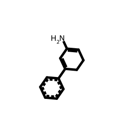 NC1=CCCC(c2ccccc2)=C1